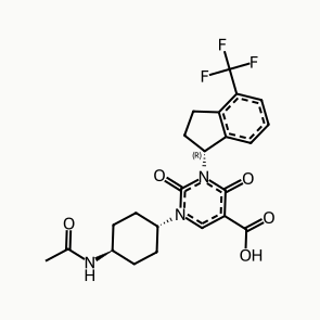 CC(=O)N[C@H]1CC[C@H](n2cc(C(=O)O)c(=O)n([C@@H]3CCc4c3cccc4C(F)(F)F)c2=O)CC1